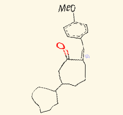 COc1ccc(/C=C2/CCC(C3CCCCC3)CC2=O)cc1